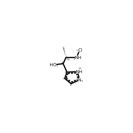 C[C@H](NCl)C(O)c1ccn[nH]1